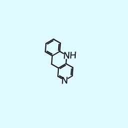 c1ccc2c(c1)Cc1cnccc1N2